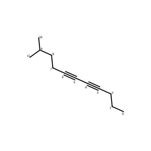 CCCC#CC#CCCC(C)C